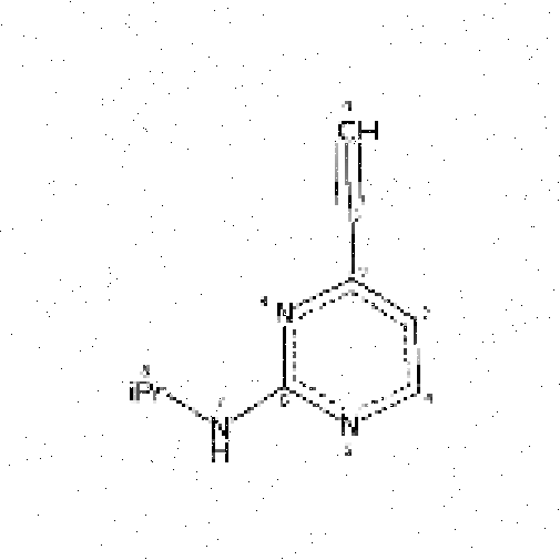 C#Cc1ccnc(NC(C)C)n1